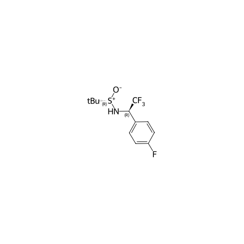 CC(C)(C)[S@+]([O-])N[C@H](c1ccc(F)cc1)C(F)(F)F